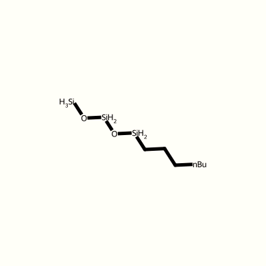 CCCCCCC[SiH2]O[SiH2]O[SiH3]